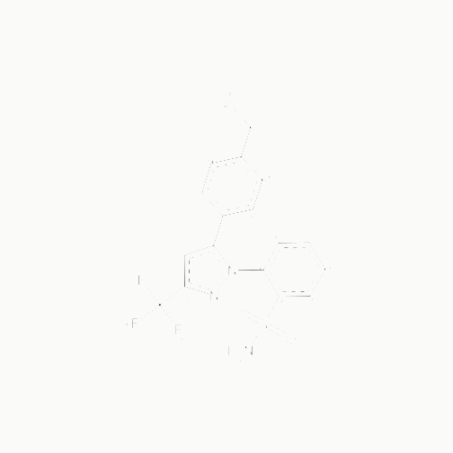 NS(=O)(=O)c1ccccc1-n1nc(C(F)(F)F)cc1-c1ccc(CBr)cc1